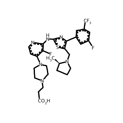 C[C@@H]1CCCN1Cc1sc(Nc2nccc(N3CCN(CCC(=O)O)CC3)c2F)nc1-c1cc(F)cc(C(F)(F)F)c1